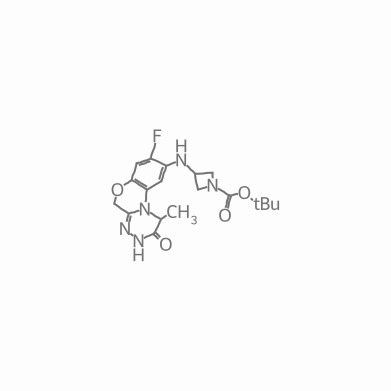 CC1C(=O)NN=C2COc3cc(F)c(NC4CN(C(=O)OC(C)(C)C)C4)cc3N21